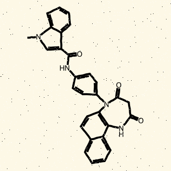 Cn1cc(C(=O)Nc2ccc(N3C(=O)CC(=O)Nc4c3ccc3ccccc43)cc2)c2ccccc21